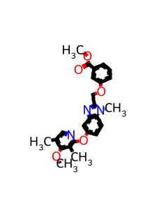 COC(=O)c1cccc(OCc2nc3cc(Oc4ncc(C)c(OC)c4C)ccc3n2C)c1